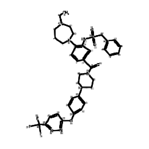 CCN1CCCN(c2ccc(C(=O)N3CCC(c4ccc(Oc5ccc(C(F)(F)F)nn5)cc4)CC3)cc2NS(=O)(=O)Cc2ccccc2)CC1